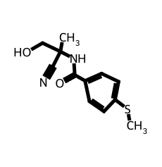 CSc1ccc(C(=O)NC(C)(C#N)CO)cc1